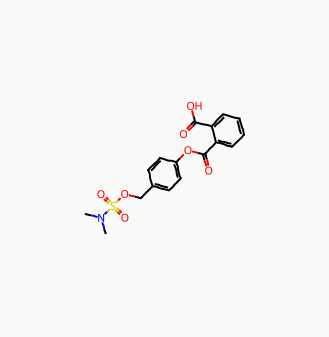 CN(C)S(=O)(=O)OCc1ccc(OC(=O)c2ccccc2C(=O)O)cc1